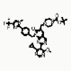 COc1ncnc(C2CC2)c1-c1ncc2cc(CN3CCN(C(=O)OC(C)(C)C)CC3)c(=O)n(Cc3ccc(-c4nc(C(F)(F)F)cn4C)cc3)c2n1